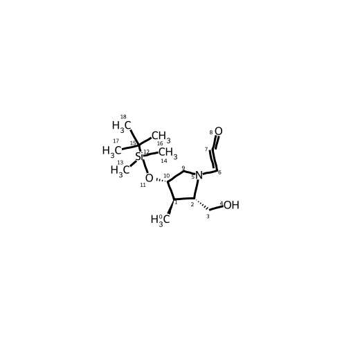 C[C@@H]1[C@@H](CO)N(C=C=O)C[C@H]1O[Si](C)(C)C(C)(C)C